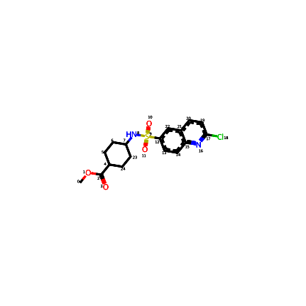 COC(=O)C1CCC(NS(=O)(=O)c2ccc3nc(Cl)ccc3c2)CC1